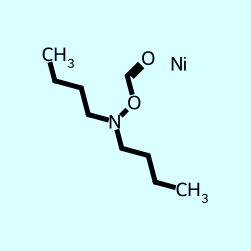 CCCCN(CCCC)OC=O.[Ni]